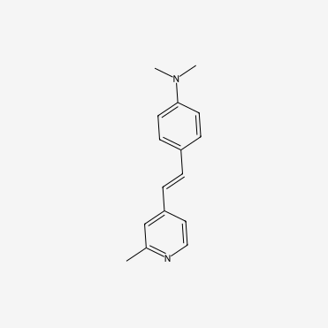 Cc1cc(/C=C/c2ccc(N(C)C)cc2)ccn1